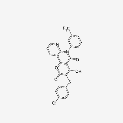 O=c1oc2c(c(O)c1Sc1ccc(Cl)cc1)c(=O)n(-c1cccc(C(F)(F)F)c1)c1ncccc21